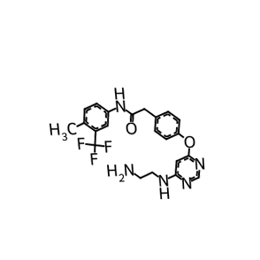 Cc1ccc(NC(=O)Cc2ccc(Oc3cc(NCCN)ncn3)cc2)cc1C(F)(F)F